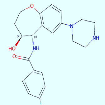 O=C(N[C@H]1c2cc(N3CCNCC3)ccc2OCC[C@@H]1O)c1ccc(F)cc1